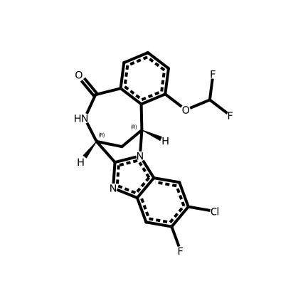 O=C1N[C@@H]2C[C@H](c3c(OC(F)F)cccc31)n1c2nc2cc(F)c(Cl)cc21